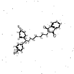 O=C1c2ccccc2C(=O)N1CCCCCCCC(c1ccc(F)cc1)c1ccc(F)cc1